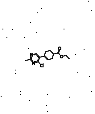 CCOC(=O)C1CC=C(c2cnc(C)nc2Cl)CC1